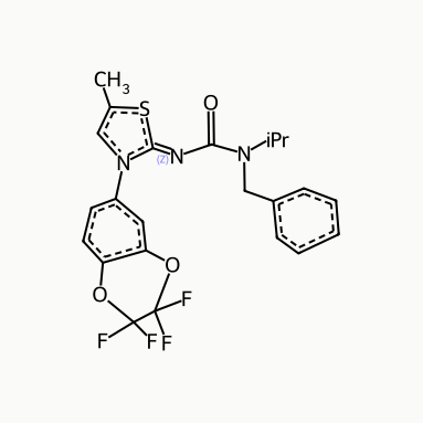 Cc1cn(-c2ccc3c(c2)OC(F)(F)C(F)(F)O3)/c(=N/C(=O)N(Cc2ccccc2)C(C)C)s1